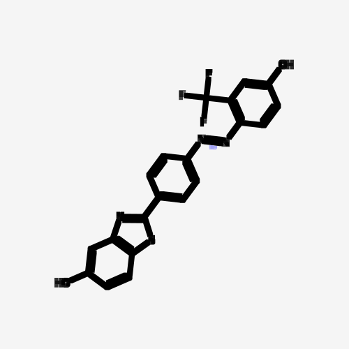 Oc1ccc(/N=N/c2ccc(-c3nc4cc(O)ccc4s3)cc2)c(C(F)(F)F)c1